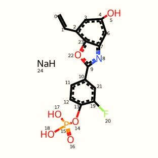 C=Cc1cc(O)cc2nc(-c3ccc(OP(=O)(O)O)c(F)c3)oc12.[NaH]